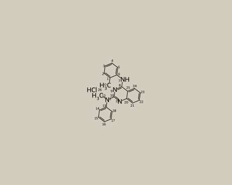 Cc1ccccc1Nc1nc(N(C)c2ccccc2)nc2ccccc12.Cl